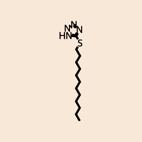 CCCCCCCCCCCCSc1nnn[nH]1